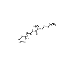 CCCCCN(O)C(=O)CCCc1ccccc1